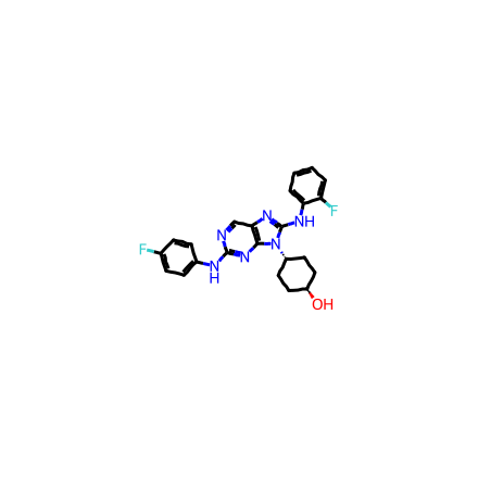 O[C@H]1CC[C@H](n2c(Nc3ccccc3F)nc3cnc(Nc4ccc(F)cc4)nc32)CC1